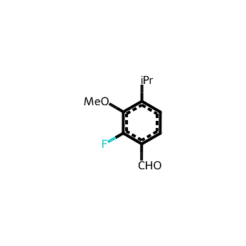 COc1c(C(C)C)ccc(C=O)c1F